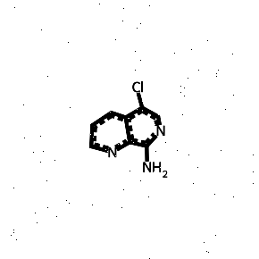 Nc1ncc(Cl)c2cccnc12